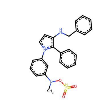 CN(O[SH](=O)=O)c1cccc(-n2ccc(NCc3ccccc3)c2-c2ccccc2)c1